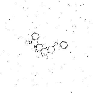 Nc1nnc(-c2ccccc2O)cc1N1CCCC(Oc2ccccc2)C1